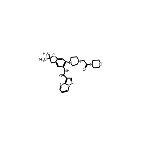 CC1(C)Cc2cc(NC(=O)c3cnn4cccnc34)c(N3CCN(CC(=O)N4CCOCC4)CC3)cc2O1